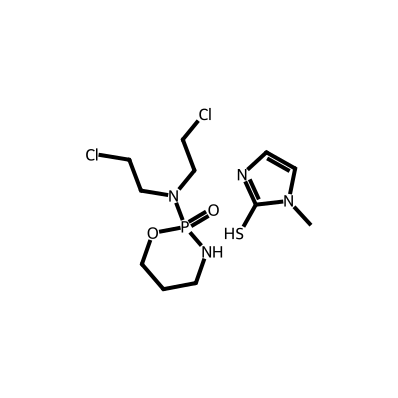 Cn1ccnc1S.O=P1(N(CCCl)CCCl)NCCCO1